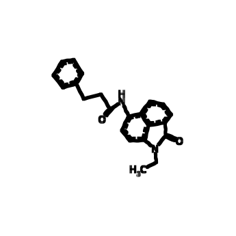 CCN1C(=O)c2cccc3c(NC(=O)CCc4ccccc4)ccc1c23